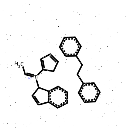 C/[CH]=[Ti](\[C]1=CC=CC1)[CH]1C=Cc2ccccc21.c1ccc(CCc2ccccc2)cc1